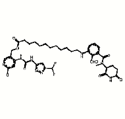 CN(C(=O)c1cccc(NCCCCCCCCCCCC(=O)OCc2cnc(Cl)cc2NC(=O)Nc2cc(C(F)F)ns2)c1C=O)C1CCC(=O)NC1=O